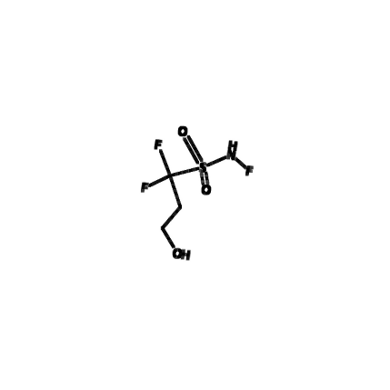 O=S(=O)(NF)C(F)(F)CCO